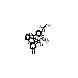 COc1cc(C(=O)C2(OC(C)C)c3ccccc3OC3(CCNCC3)C2(C)C)ccc1OC(C)C